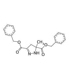 CC1(C(=O)OCc2ccccc2)CC(C(=O)OCc2ccccc2)=NN1